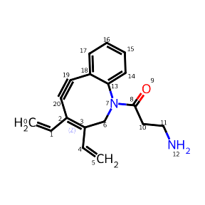 C=C/C1=C(\C=C)CN(C(=O)CCN)c2ccccc2C#C1